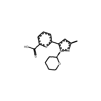 Cc1cc(-c2cccc(C(=O)O)n2)n(C2CCCCO2)n1